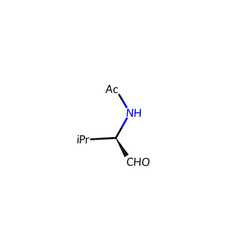 CC(=O)N[C@@H](C=O)C(C)C